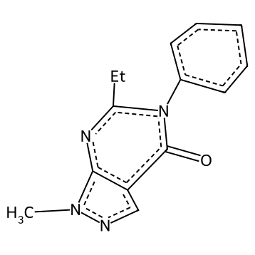 CCc1nc2c(cnn2C)c(=O)n1-c1ccccc1